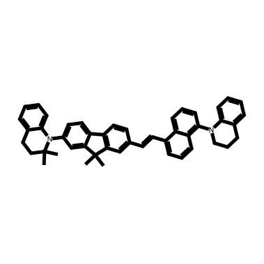 CC1(C)c2cc(/C=C/c3cccc4c(N5CCCc6ccccc65)cccc34)ccc2-c2ccc(N3c4ccccc4CCC3(C)C)cc21